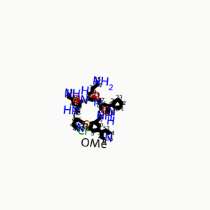 COc1cc(-c2cc(Cl)c3c(c2)CNC(=O)[C@H](Cc2c[nH]c4ccccc24)N(C)C(=O)[C@H](CCCCN)NC(=O)[C@H](CCCN)NCc2cccnc2S3)ccn1